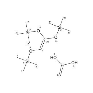 C=C(O)O.C[Si](C)(C)OC=C(O[Si](C)(C)C)O[Si](C)(C)C